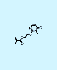 C=C(C)C(=O)OCCSc1nccc(=O)n1C